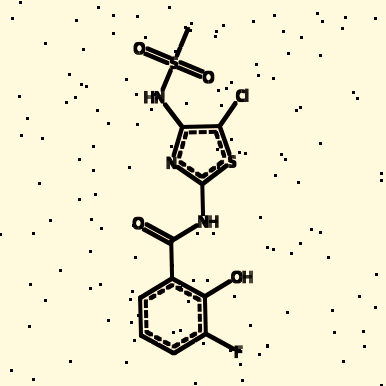 CS(=O)(=O)Nc1nc(NC(=O)c2cccc(F)c2O)sc1Cl